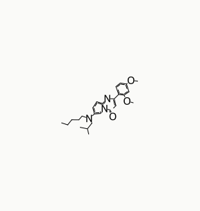 C/C=C(\N=c1\ccc(N(CCCCC)CC(C)C)cn1C=O)c1ccc(OC)cc1OC